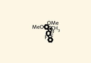 COc1cc(OC)cc(C2(S(C)(=O)=O)C=CC(F)(c3ccccc3)C(F)=C2)c1